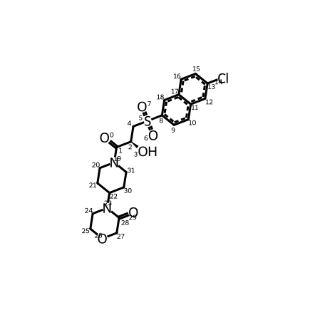 O=C([C@H](O)CS(=O)(=O)c1ccc2cc(Cl)ccc2c1)N1CCC(N2CCOCC2=O)CC1